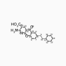 Nc1nc2oc3ccc(CCc4ccccc4)cc3c(=O)c2cc1C(=O)O